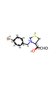 O=CC(=O)C1CSCN1Cc1ccc(Br)cc1